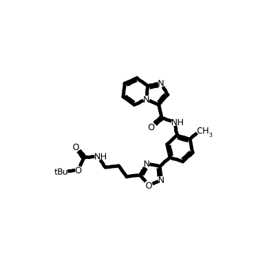 Cc1ccc(-c2noc(CCCNC(=O)OC(C)(C)C)n2)cc1NC(=O)c1cnc2ccccn12